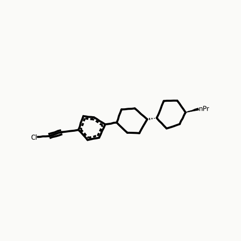 CCC[C@H]1CC[C@H](C2CCC(c3ccc(C#CCl)cc3)CC2)CC1